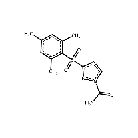 Cc1cc(C)c(S(=O)(=O)c2ncn(C(N)=O)n2)c(C)c1